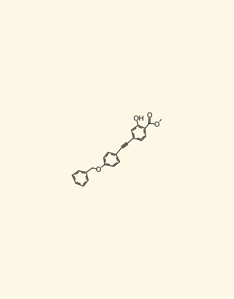 COC(=O)c1ccc(C#Cc2ccc(OCc3ccccc3)cc2)cc1O